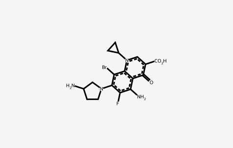 Nc1c(F)c(N2CCC(N)C2)c(Br)c2c1c(=O)c(C(=O)O)cn2C1CC1